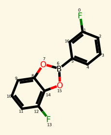 Fc1cccc(B2Oc3cccc(F)c3O2)c1